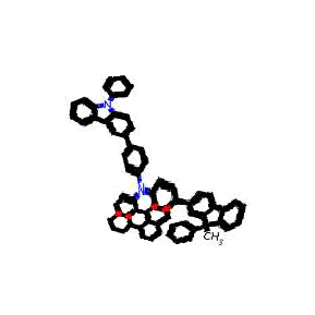 CC1(c2ccccc2)c2ccccc2-c2ccc(-c3ccc(N(c4ccc(-c5ccc6c(c5)c5ccccc5n6-c5ccccc5)cc4)c4ccccc4-c4cccc5cccc(C6CCCCC6)c45)cc3)cc21